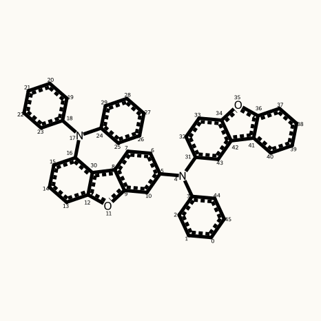 c1ccc(N(c2ccc3c(c2)oc2cccc(N(c4ccccc4)c4ccccc4)c23)c2ccc3oc4ccccc4c3c2)cc1